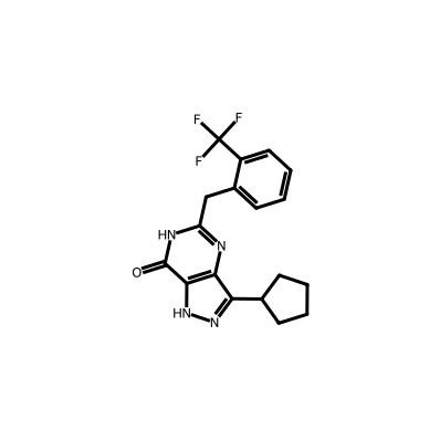 O=c1[nH]c(Cc2ccccc2C(F)(F)F)nc2c(C3CCCC3)n[nH]c12